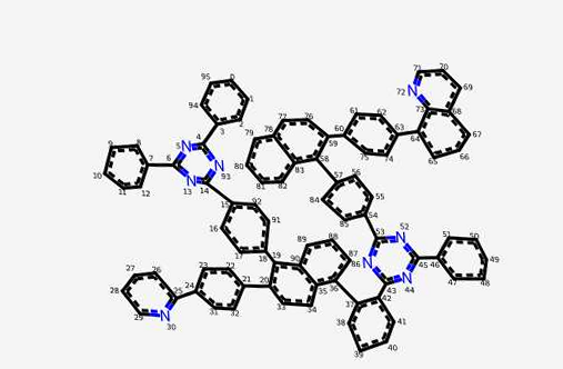 c1ccc(-c2nc(-c3ccccc3)nc(-c3ccc(-c4c(-c5ccc(-c6ccccn6)cc5)ccc5c(-c6ccccc6-c6nc(-c7ccccc7)nc(-c7ccc(-c8c(-c9ccc(-c%10cccc%11cccnc%10%11)cc9)ccc9ccccc89)cc7)n6)cccc45)cc3)n2)cc1